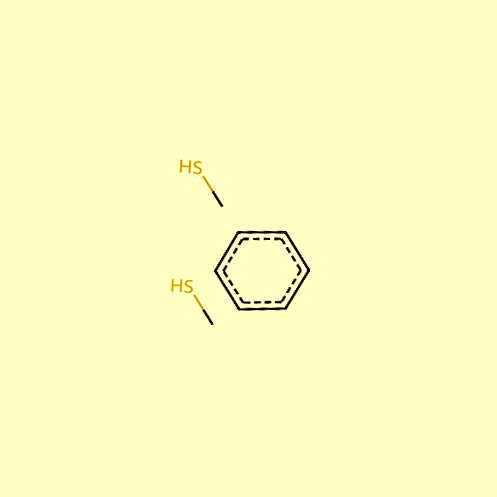 CS.CS.c1ccccc1